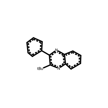 CC(C)(C)c1nc2ccccc2nc1-c1ccccc1